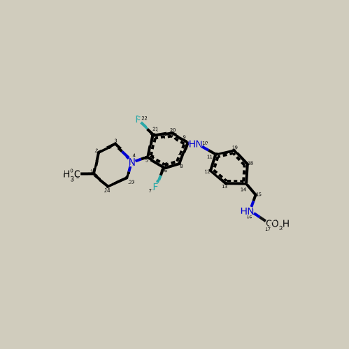 CC1CCN(c2c(F)cc(Nc3ccc(CNC(=O)O)cc3)cc2F)CC1